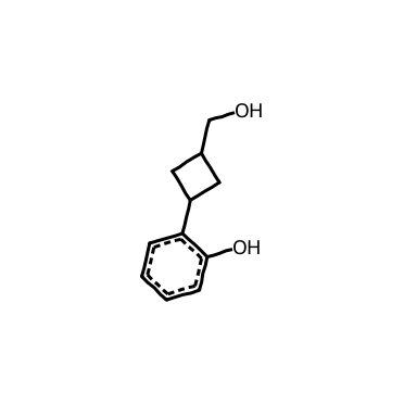 OCC1CC(c2ccccc2O)C1